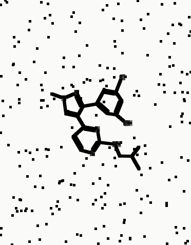 CC(C)CNc1nccc(-c2cn(C)nc2-c2cc(O)cc(Cl)c2)n1